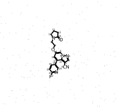 N#Cc1cnn2cc(OCCN3CCCC3=O)cc(-c3ccc(F)nc3)c12